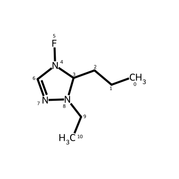 CCCC1N(F)C=NN1CC